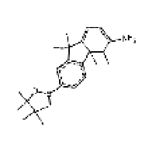 CC1C(N)=CC=C2C(C)(C)c3cc(B4CC(C)(C)C(C)(C)O4)ccc3C21C